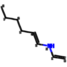 C=CNC=CCCCC